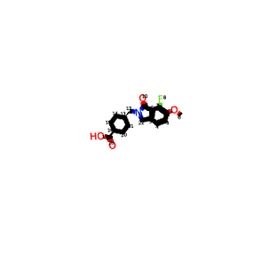 COc1ccc2c(c1F)C(=O)N(C[C@H]1CC[C@H](C(=O)O)CC1)C2